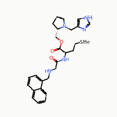 CSCCC(NC(=O)CNCc1cccc2ccccc12)C(=O)OC[C@@H]1CCCN1Cc1c[nH]cn1